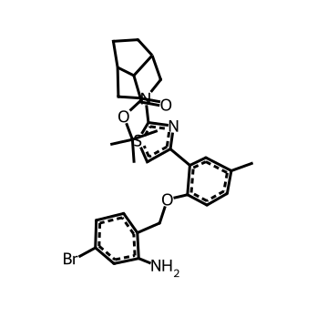 Cc1ccc(OCc2ccc(Br)cc2N)c(-c2csc(N3CC4CCC(C3)C4C(=O)OC(C)(C)C)n2)c1